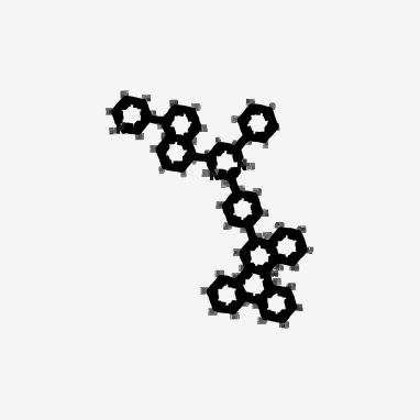 c1ccc(-c2cc(-c3cccc4c(-c5cccnc5)cccc34)nc(-c3ccc(-c4cc5c6ccccc6c6ccccc6c5c5ccccc45)cc3)n2)cc1